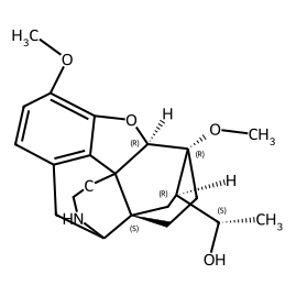 COc1ccc2c3c1O[C@@H]1C34CCNC(C2)[C@]42CC[C@@]1(OC)[C@@H]([C@H](C)O)C2